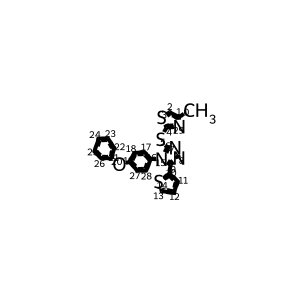 Cc1csc(Sc2nnc(-c3cccs3)n2-c2ccc(Oc3ccccc3)cc2)n1